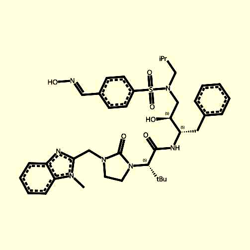 CC(C)CN(C[C@H](O)[C@H](Cc1ccccc1)NC(=O)[C@@H](N1CCN(Cc2nc3ccccc3n2C)C1=O)C(C)(C)C)S(=O)(=O)c1ccc(C=NO)cc1